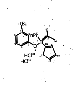 CC[CH2][Ti]([O]c1cccc(C(C)(C)C)c1)([C]1=CC=CC1)=[C](C)C.Cl.Cl